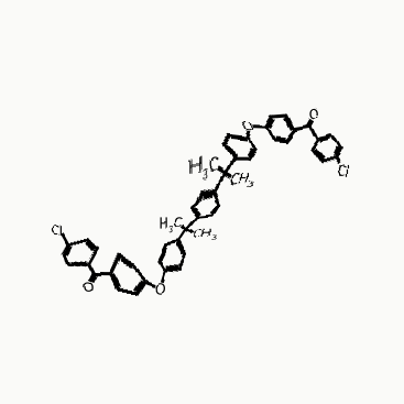 CC(C)(c1ccc(Oc2ccc(C(=O)c3ccc(Cl)cc3)cc2)cc1)c1ccc(C(C)(C)c2ccc(Oc3ccc(C(=O)c4ccc(Cl)cc4)cc3)cc2)cc1